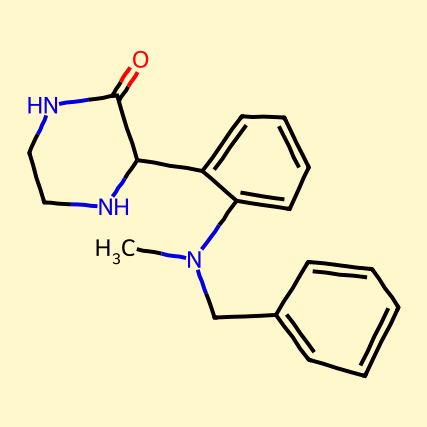 CN(Cc1ccccc1)c1ccccc1C1NCCNC1=O